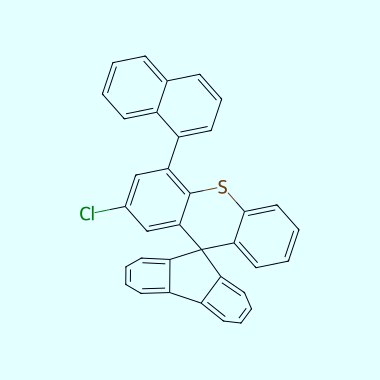 Clc1cc(-c2cccc3ccccc23)c2c(c1)C1(c3ccccc3S2)c2ccccc2-c2ccccc21